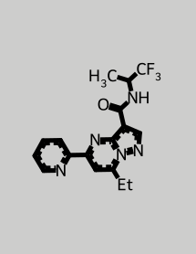 CCc1cc(-c2ccccn2)nc2c(C(=O)NC(C)C(F)(F)F)cnn12